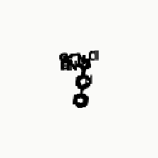 O=S1(=O)CCn2c(Cl)cc(-c3ccc(-c4ccccc4)cn3)c2N1